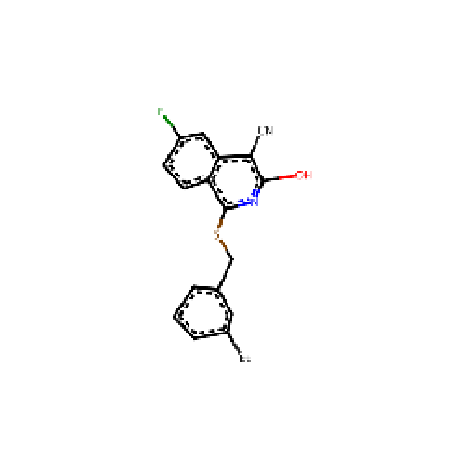 CCc1cccc(CSc2nc(O)c(C#N)c3cc(F)ccc23)c1